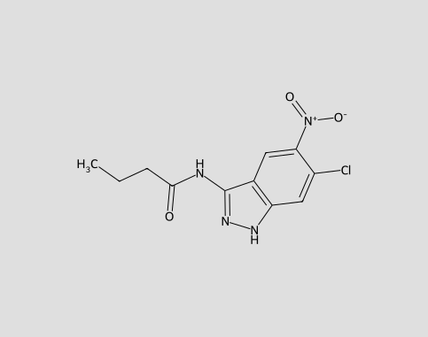 CCCC(=O)Nc1n[nH]c2cc(Cl)c([N+](=O)[O-])cc12